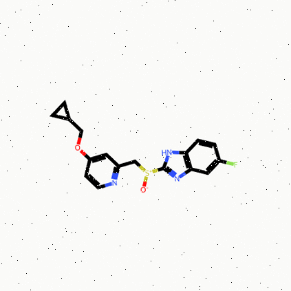 [O-][S+](Cc1cc(OCC2CC2)ccn1)c1nc2cc(F)ccc2[nH]1